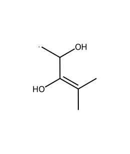 [CH2]C(O)C(O)=C(C)C